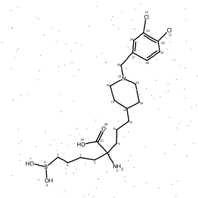 NC(CCCCB(O)O)(CCCC1CCN(Cc2ccc(Cl)c(Cl)c2)CC1)C(=O)O